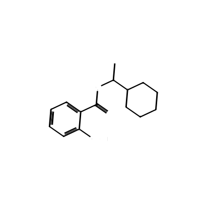 CC(OC(=O)c1ccccc1C(=O)O)C1CCCCC1